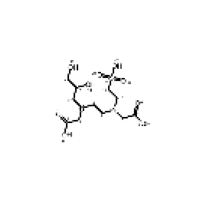 O=C(O)CN(CCN(CC(=O)O)CC(O)CO)CCS(=O)(=O)O